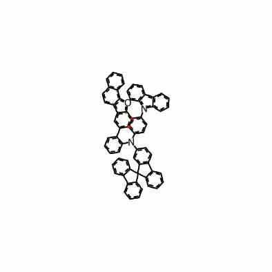 c1ccc(N(c2ccc(-n3c4ccccc4c4ccccc43)cc2)c2ccc3c(c2)C2(c4ccccc4-c4ccccc42)c2ccccc2-3)c(-c2ccc3oc4c5ccccc5ccc4c3c2)c1